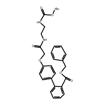 CC(C)(C)OC(=O)NCCNC(=O)COc1ccc(-c2ccccc2C(=O)OCc2ccccc2)cc1